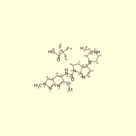 CCOc1nc2nn(C)cc2cc1NC(=O)N1CCc2c(N3CCN[C@@H](C)C3)ccnc21.O=C(O)C(F)(F)F